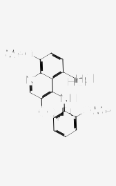 CCOC(=O)c1cnc2c(OC)ccc(C)c2c1Nc1ccccc1OC.Cl.Cl